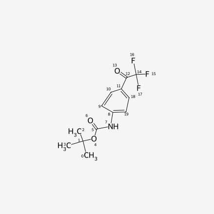 CC(C)(C)OC(=O)Nc1ccc(C(=O)C(F)(F)F)cc1